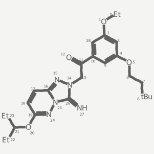 CCOc1cc(OCCC(C)(C)C)cc(C(=O)Cn2nc3ccc(OC(CC)CC)nn3c2=N)c1